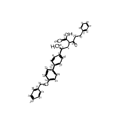 O=C(O)C(CC(O)c1ccc(-c2ccc(OCc3ccccc3)cc2)cc1)C(=O)CCc1ccccc1